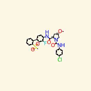 CO[C@H]1C[C@H](C(=O)Nc2ccc(-c3ccccc3S(C)(=O)=O)cc2F)N(C(=O)Nc2ccc(Cl)cc2)C1